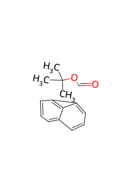 CC(C)(C)OC=O.c1cc2c3c-2cccc3c1